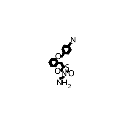 N#Cc1ccc(COc2ccccc2C=C2SC(=O)N(CCN)C2=O)cc1